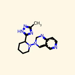 Cc1n[nH]c(C2CCCCN2N2C=c3cnccc3=NC2)n1